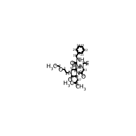 CCOCCN1C[C@H]2N(C(=O)CN(CF)N2C(=O)NCc2ccccc2)[C@@H](CC(C)C)C1=O